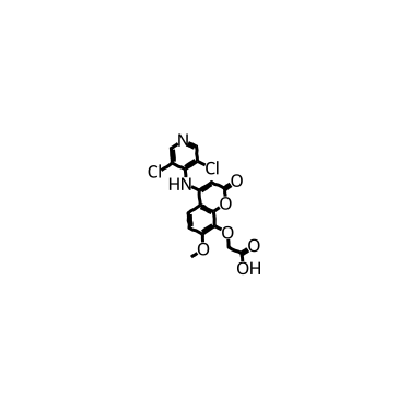 COc1ccc2c(Nc3c(Cl)cncc3Cl)cc(=O)oc2c1OCC(=O)O